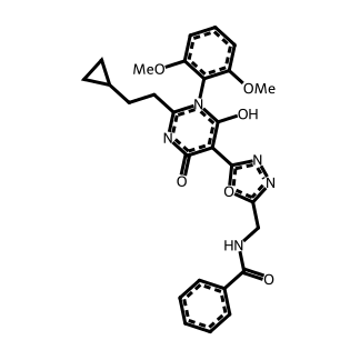 COc1cccc(OC)c1-n1c(CCC2CC2)nc(=O)c(-c2nnc(CNC(=O)c3ccccc3)o2)c1O